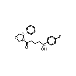 O=C(CCC[C@H](O)c1ccc(F)cc1)N1COC[C@@H]1c1ccccc1